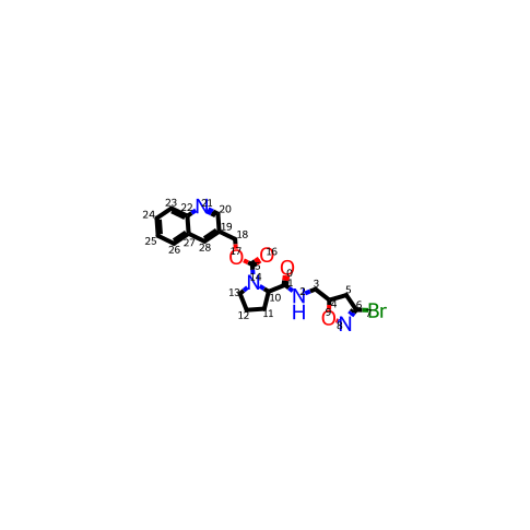 O=C(NCC1CC(Br)=NO1)C1CCCN1C(=O)OCc1cnc2ccccc2c1